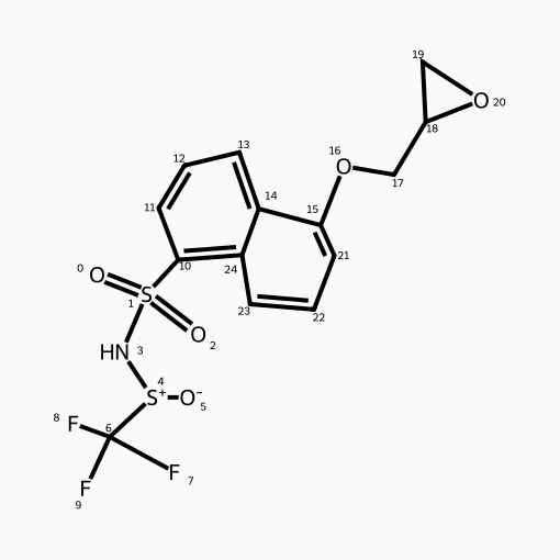 O=S(=O)(N[S+]([O-])C(F)(F)F)c1cccc2c(OCC3CO3)cccc12